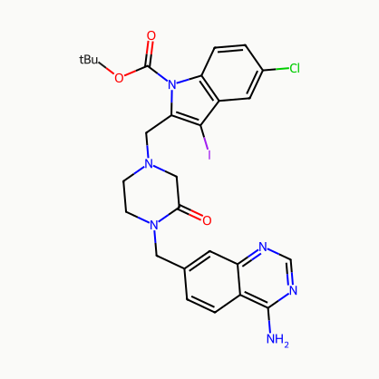 CC(C)(C)OC(=O)n1c(CN2CCN(Cc3ccc4c(N)ncnc4c3)C(=O)C2)c(I)c2cc(Cl)ccc21